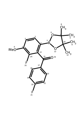 COc1ccc(B2OC(C)(C)C(C)(C)O2)c(C(=O)c2ccc(F)cc2)c1F